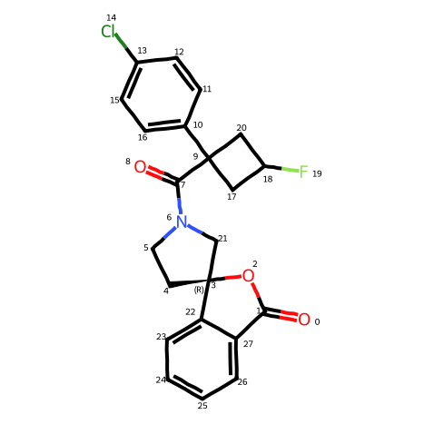 O=C1O[C@]2(CCN(C(=O)C3(c4ccc(Cl)cc4)CC(F)C3)C2)c2ccccc21